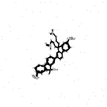 CCCCCCCCC1(C)c2cc(C3=CC4C(C=C3)c3ccc(C(C)(C)C)cc3C4(CCCN(C)C)CCCN(C)C)ccc2-c2ccc(C(C)(C)C)cc21